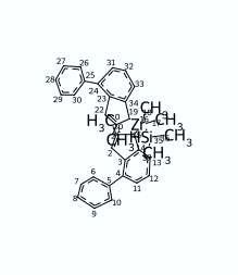 CC1=Cc2c(-c3ccccc3)cccc2[CH]1[Zr]([CH3])([CH3])([CH]1C(C)=Cc2c(-c3ccccc3)cccc21)[SiH](C)C